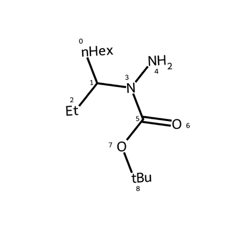 CCCCCCC(CC)N(N)C(=O)OC(C)(C)C